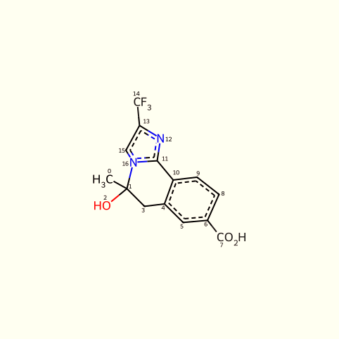 CC1(O)Cc2cc(C(=O)O)ccc2-c2nc(C(F)(F)F)cn21